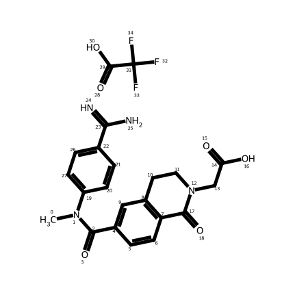 CN(C(=O)c1ccc2c(c1)CCN(CC(=O)O)C2=O)c1ccc(C(=N)N)cc1.O=C(O)C(F)(F)F